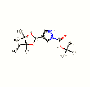 CCC1(C)OB(c2cnn(C(=O)OC(C)(C)C)c2)OC1(C)C